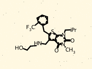 CC(C)Cn1c(=O)n(C)c(=O)c2c(CNCCCO)c(Cc3ccccc3C(F)(F)F)sc21